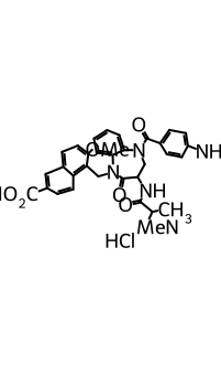 CNC(C)C(=O)NC1CN(C(=O)c2ccc(N)cc2)c2ccccc2N(Cc2c(OC)ccc3cc(C(=O)O)ccc23)C1=O.Cl